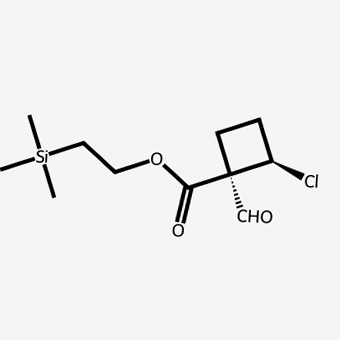 C[Si](C)(C)CCOC(=O)[C@@]1(C=O)CC[C@H]1Cl